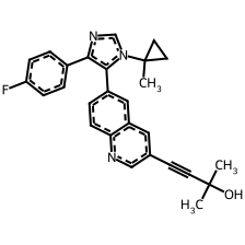 CC(C)(O)C#Cc1cnc2ccc(-c3c(-c4ccc(F)cc4)ncn3C3(C)CC3)cc2c1